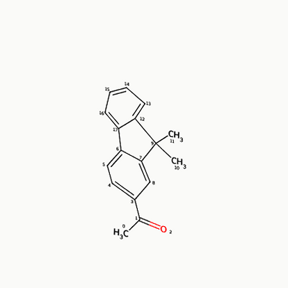 CC(=O)c1ccc2c(c1)C(C)(C)c1ccccc1-2